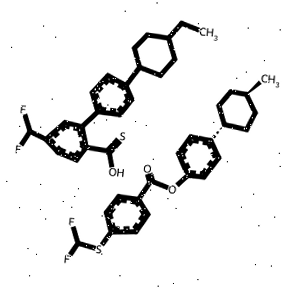 CCC1CCC(c2ccc(-c3cc(C(F)F)ccc3C(O)=S)cc2)CC1.C[C@H]1CC[C@H](c2ccc(OC(=O)c3ccc(SC(F)F)cc3)cc2)CC1